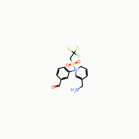 NCC1=C[N+](c2cccc(C=O)c2)(S(=O)(=O)CC(F)(F)F)CC=C1